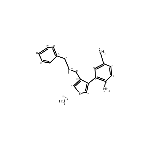 Cl.Cl.Nc1ccc(N)c(-c2cscc2CNCc2ccccc2)c1